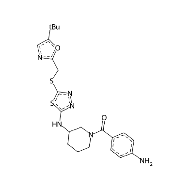 CC(C)(C)c1cnc(CSc2nnc(NC3CCCN(C(=O)c4ccc(N)cc4)C3)s2)o1